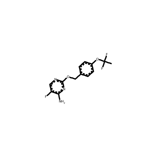 CC(F)(F)Oc1ccc(COc2ncc(F)c(N)n2)cc1